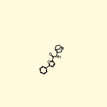 O=C(NC1CN2CCC1CC2)c1ccc(-c2ccccc2)o1